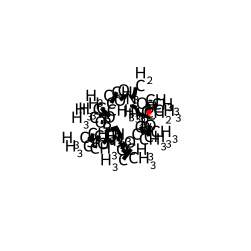 C=CCN(CC(CC(=C)B1OC(C)(C)C(C)(C)O1)O[Si](C)(C)C(C)(C)C)C(=O)OC(C)(C)C.CC(C)(C)OC(=O)N1CC=C(B2OC(C)(C)C(C)(C)O2)CC(O[Si](C)(C)C(C)(C)C)C1